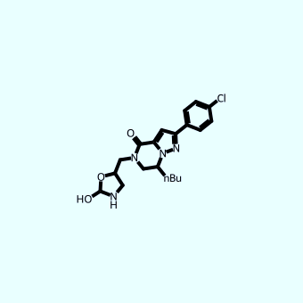 CCCCC1CN(CC2CNC(O)O2)C(=O)c2cc(-c3ccc(Cl)cc3)nn21